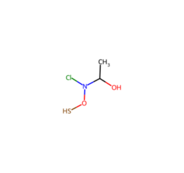 CC(O)N(Cl)OS